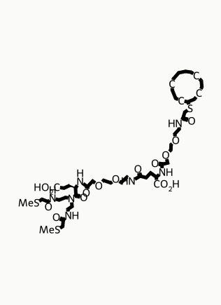 CSCC(=O)NCCN(CCNC(=O)CSC)C(=O)[C@@H](CCC(=O)O)NC(=O)COCCOCCNC(=O)CCC(NC(=O)COCCOCCNC(=O)CSC1CCCCCCCCCCCCC1)C(=O)O